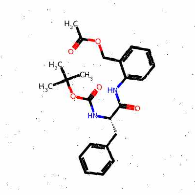 CC(=O)OCc1ccccc1NC(=O)[C@H](Cc1ccccc1)NC(=O)OC(C)(C)C